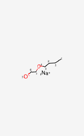 CCCCOCC[O-].[Na+]